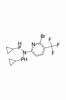 FC(F)(F)c1ccc(N(PC2CC2)PC2CC2)nc1Br